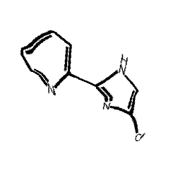 Clc1c[nH]c(-c2ccccn2)n1